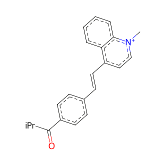 CC(C)C(=O)c1ccc(C=Cc2cc[n+](C)c3ccccc23)cc1